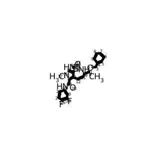 C[C@@H](OCc1ccccc1)[C@H]1C=Cc2c(cn(C)c2C(=O)Nc2ccc(F)c(F)c2)S(=N)(=O)N1